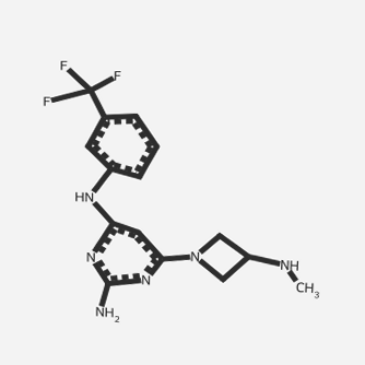 CNC1CN(c2cc(Nc3cccc(C(F)(F)F)c3)nc(N)n2)C1